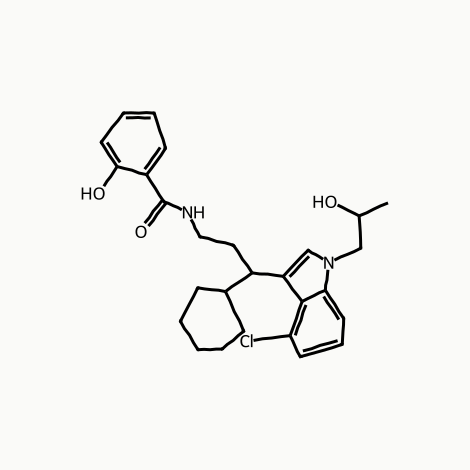 CC(O)Cn1cc(C(CCNC(=O)c2ccccc2O)C2CCCCC2)c2c(Cl)cccc21